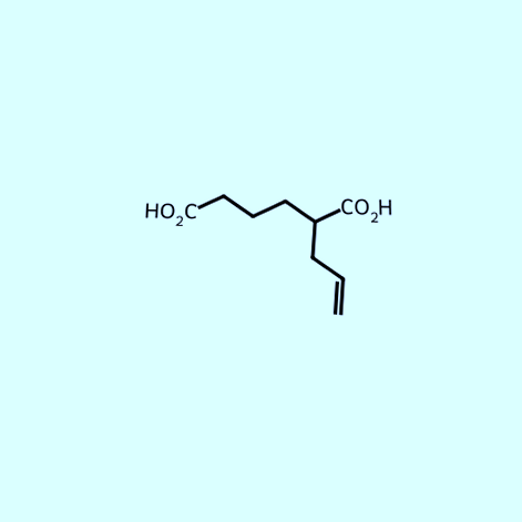 C=CCC(CCCC(=O)O)C(=O)O